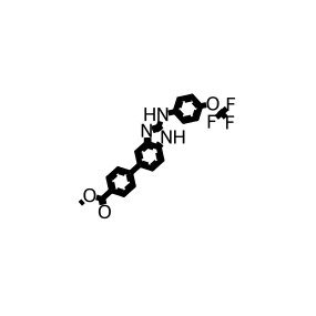 COC(=O)c1ccc(-c2ccc3[nH]c(Nc4ccc(OC(F)(F)F)cc4)nc3c2)cc1